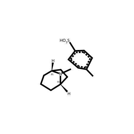 CN1[C@@H]2CCC[C@H]1CC2.Cc1ccc(S(=O)(=O)O)cc1